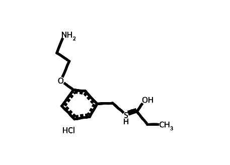 CCC(O)=[SH]Cc1cccc(OCCN)c1.Cl